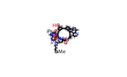 CCn1c(-c2cccnc2[C@H](C)OC)c2c3cc(ccc31)-c1cc(O)cc(c1)C[C@H](NC(=O)C(C(C)C)N(C)C(=O)CN(C)C(=O)[C@@H]1CN1CCCOC)C(=O)N1CCC[C@H](N1)C(=O)OCC(C)(C)C2